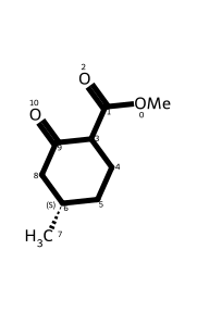 COC(=O)C1CC[C@H](C)CC1=O